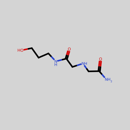 NC(=O)CNCC(=O)NCCCO